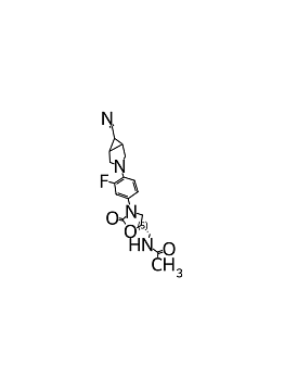 CC(=O)NC[C@H]1CN(c2ccc(N3CC4C(C#N)C4C3)c(F)c2)C(=O)O1